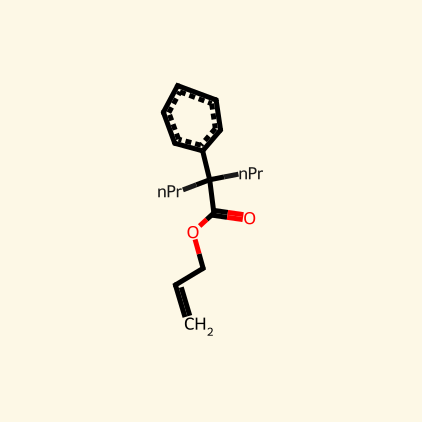 C=CCOC(=O)C(CCC)(CCC)c1ccccc1